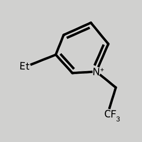 CCc1ccc[n+](CC(F)(F)F)c1